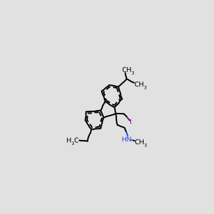 CCc1ccc2c(c1)C(CI)(CCNC)c1cc(C(C)C)ccc1-2